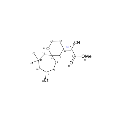 CCC1CCC2(C/C(=C(/C#N)C(=O)OC)CCO2)CC(C)(C)C1